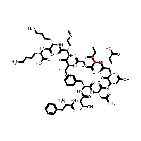 CC[C@H](C)[C@H](NC(=O)[C@H](CCC(=O)O)NC(=O)[C@H](CC(=O)O)NC(=O)[C@H](CC(N)=O)NC(=O)[C@H](Cc1ccccc1)NC(=O)[C@@H](NC(=O)[C@@H](N)Cc1ccccc1)[C@@H](C)O)C(=O)N[C@@H](CCCCN)C(=O)N[C@H](C(=O)N[C@@H](CCSC)C(=O)N[C@@H](CCCCN)C(=O)N[C@@H](CCCCN)C(=O)O)[C@@H](C)O